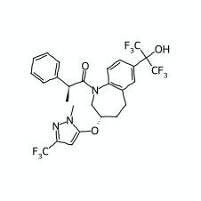 C[C@H](C(=O)N1C[C@@H](Oc2cc(C(F)(F)F)nn2C)CCc2cc(C(O)(C(F)(F)F)C(F)(F)F)ccc21)c1ccccc1